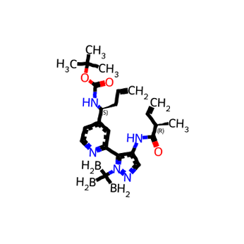 BC(B)(B)n1ncc(NC(=O)[C@H](C)C=C)c1-c1cc([C@H](CC=C)NC(=O)OC(C)(C)C)ccn1